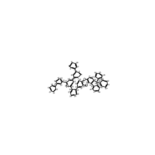 c1ccc(-c2cccc(-c3cc(-c4cccc(-c5ccccc5)c4)nc(-c4ccccc4-c4ccc5c(c4)Oc4c(ccc6c4-c4ccccc4C6(c4ccccc4)c4ccccc4)O5)c3)c2)cc1